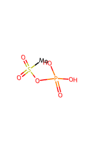 O=P(O)(O)O[S](=O)(=O)[Mo]